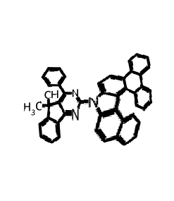 CC1(C)c2ccccc2-c2nc(-n3c4ccc5ccccc5c4c4c5c6ccccc6c6ccccc6c5ccc43)nc(-c3ccccc3)c21